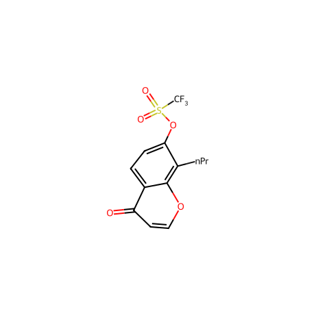 CCCc1c(OS(=O)(=O)C(F)(F)F)ccc2c(=O)ccoc12